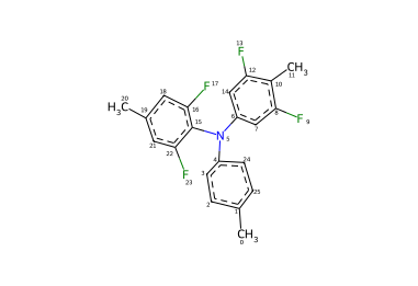 Cc1ccc(N(c2cc(F)c(C)c(F)c2)c2c(F)cc(C)cc2F)cc1